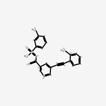 Cc1cccc(S(C)(=O)=NC(=O)c2cncc(C#Cc3ccccc3C)c2)c1